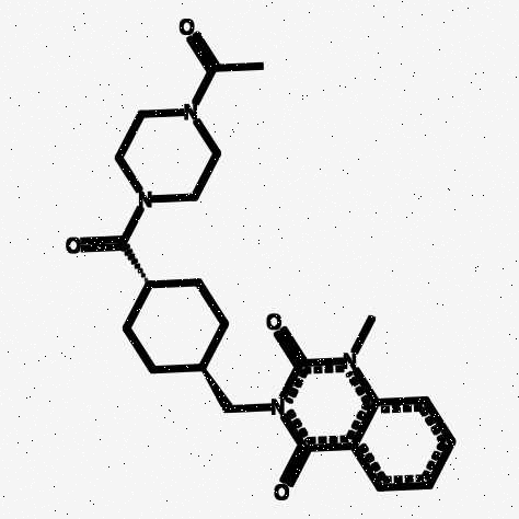 CC(=O)N1CCN(C(=O)[C@H]2CC[C@H](Cn3c(=O)c4ccccc4n(C)c3=O)CC2)CC1